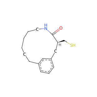 O=C1NCCCCCCc2cccc(c2)C[C@@H]1CS